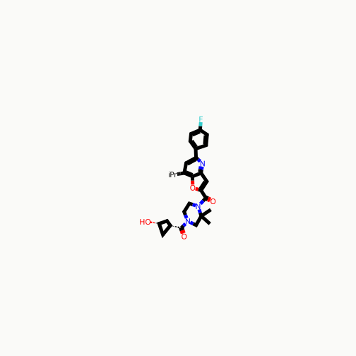 CC(C)c1cc(-c2ccc(F)cc2)nc2cc(C(=O)N3CCN(C(=O)[C@H]4C[C@@H](O)C4)CC3(C)C)oc12